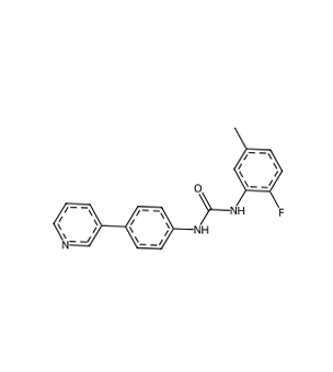 Cc1ccc(F)c(NC(=O)Nc2ccc(-c3cccnc3)cc2)c1